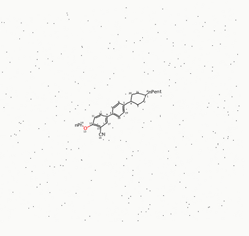 CCCCCC1CCC(c2ccc(-c3ccc(OCCC)c(C#N)c3)cc2)CC1